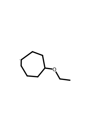 CCOC1CC[CH]CCC1